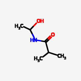 CC(O)NC(=O)C(C)C